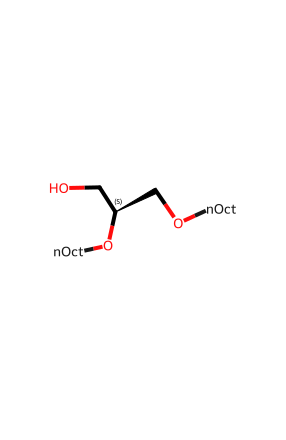 CCCCCCCCOC[C@H](CO)OCCCCCCCC